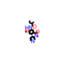 CCC(C)C(=O)Nc1cc(C(=O)N(C)c2cccnc2)ccc1OC